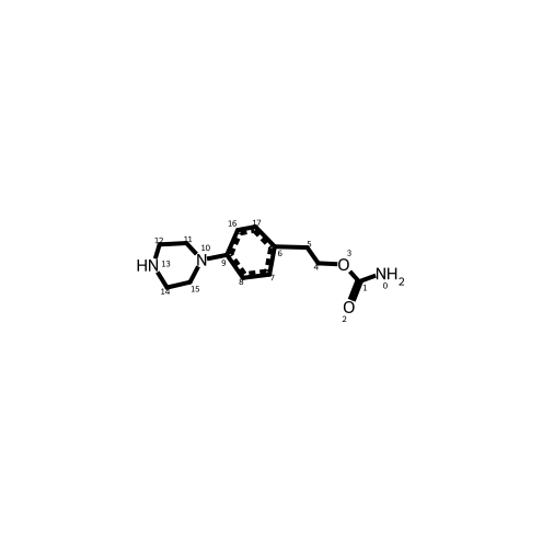 NC(=O)OCCc1ccc(N2CCNCC2)cc1